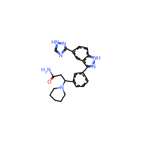 NC(=O)CC(c1cccc(-c2n[nH]c3ccc(-c4nc[nH]n4)cc23)c1)N1CCCCC1